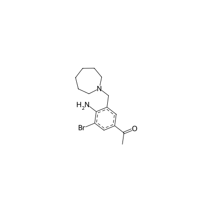 CC(=O)c1cc(Br)c(N)c(CN2CCCCCC2)c1